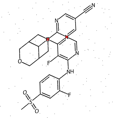 CS(=O)(=O)c1ccc(Nc2ncnc(OC3C4COCC3CN(c3ncc(C#N)cn3)C4)c2F)c(F)c1